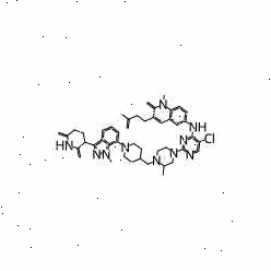 C=C(C)CCC1=Cc2cc(Nc3nc(N4CCN(CC5CCN(c6cccc7c(C8CCC(=C)NC8=C)nn(C)c67)CC5)C(C)C4)ncc3Cl)ccc2N(C)C1=C